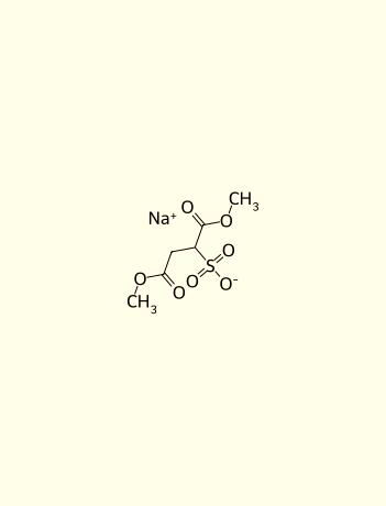 COC(=O)CC(C(=O)OC)S(=O)(=O)[O-].[Na+]